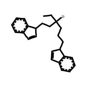 CC[C]([Zr])(CCCC1C=Cc2ccccc21)CCC1C=Cc2ccccc21